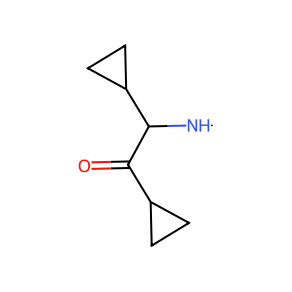 [NH]C(C(=O)C1CC1)C1CC1